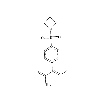 C/C=C(/C(N)=O)c1ccc(S(=O)(=O)N2CCC2)cc1